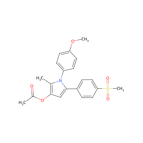 COc1ccc(-n2c(-c3ccc(S(C)(=O)=O)cc3)cc(OC(C)=O)c2C)cc1